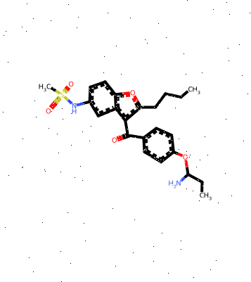 CCCCc1oc2ccc(NS(C)(=O)=O)cc2c1C(=O)c1ccc(OC(N)CC)cc1